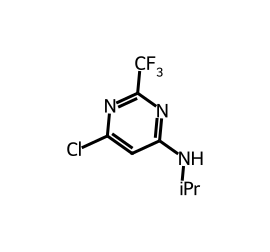 CC(C)Nc1cc(Cl)nc(C(F)(F)F)n1